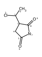 CC(Cl)C1CC(=O)[N]C1=O